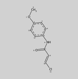 COc1ccc(NC(=O)C=CCl)cc1